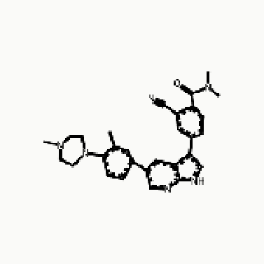 Cc1cc(-c2cnc3[nH]cc(-c4ccc(C(=O)N(C)C)c(C#N)c4)c3c2)ccc1N1CCN(C)CC1